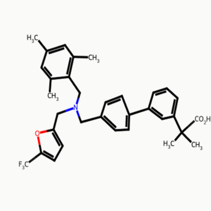 Cc1cc(C)c(CN(Cc2ccc(-c3cccc(C(C)(C)C(=O)O)c3)cc2)Cc2ccc(C(F)(F)F)o2)c(C)c1